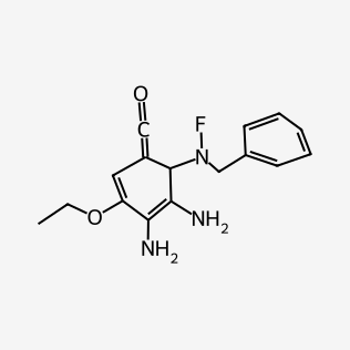 CCOC1=CC(=C=O)C(N(F)Cc2ccccc2)C(N)=C1N